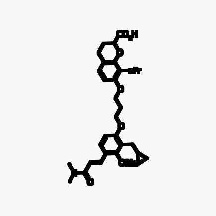 CCCc1c(OCCCOc2ccc(C=CC(=O)N(C)C)c(OC)c2CC2CC2)ccc2c1OC(C(=O)O)CC2